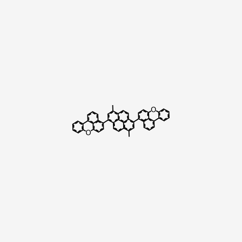 Cc1cc(-c2ccc3c4c(cccc24)-c2ccccc2O3)c2ccc3c(C)cc(-c4ccc5c6c(cccc46)-c4ccccc4O5)c4ccc1c2c34